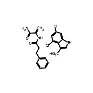 C=C(NC(=O)CCc1ccccc1)C(N)=O.O=C(O)c1c[nH]c2cc(Cl)cc(Cl)c12